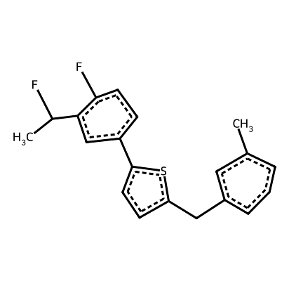 Cc1cccc(Cc2ccc(-c3ccc(F)c(C(C)F)c3)s2)c1